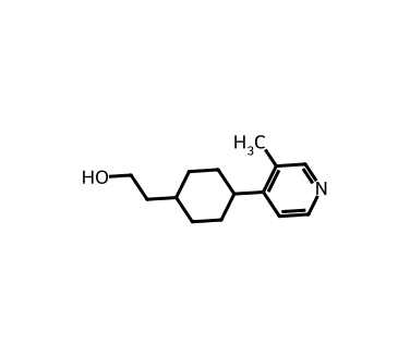 Cc1cnccc1C1CCC(CCO)CC1